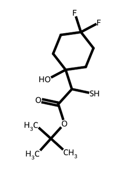 CC(C)(C)OC(=O)C(S)C1(O)CCC(F)(F)CC1